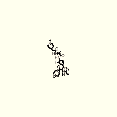 CCC(=O)N[C@@H](C(=O)N1CCN(C)CC1)[C@@H](C)c1ccc(NC(=O)[C@H](C)NC(=O)CC2CCNCC2)c(F)c1